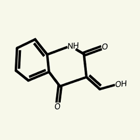 O=C1Nc2ccccc2C(=O)/C1=C/O